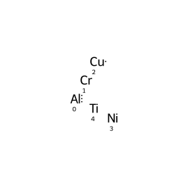 [Al].[Cr].[Cu].[Ni].[Ti]